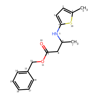 Cc1ccc(NC(C)CC(=O)OCc2ccccc2)s1